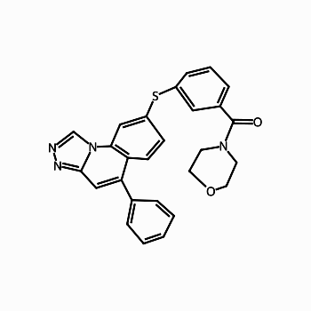 O=C(c1cccc(Sc2ccc3c(-c4ccccc4)cc4nncn4c3c2)c1)N1CCOCC1